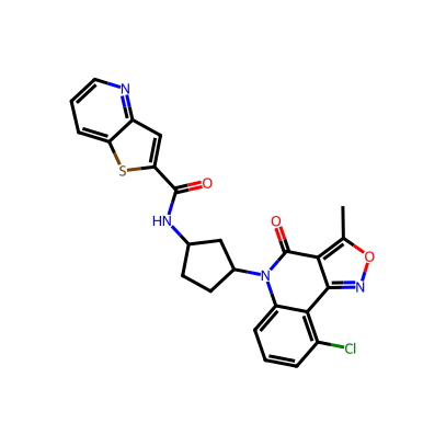 Cc1onc2c1c(=O)n(C1CCC(NC(=O)c3cc4ncccc4s3)C1)c1cccc(Cl)c21